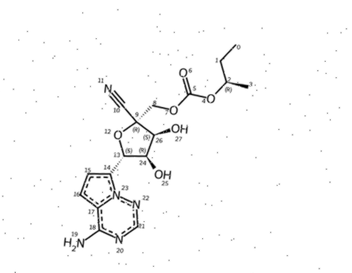 CC[C@@H](C)OC(=O)OC[C@@]1(C#N)O[C@@H](c2ccc3c(N)ncnn23)[C@H](O)[C@@H]1O